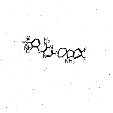 CS(=N)(=O)c1cccc(Sc2ncc(N3CCC4(CC3)Cc3cc(F)c(F)cc3C4N)nc2N)c1Cl